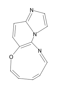 c1ccnc2c(ccc3nccn32)occ1